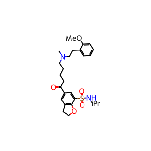 COc1ccccc1CCN(C)CCCCC(=O)c1cc2c(c(S(=O)(=O)NC(C)C)c1)OCC2